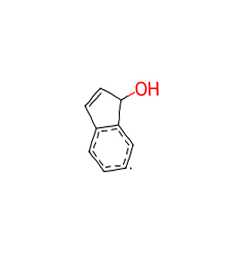 OC1C=Cc2cc[c]cc21